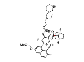 C#Cc1c(F)ccc2cc(OCOC)cc(-c3ncc4c(N5C[C@H]6CC[C@@H](C5)N6C(=O)OC(C)(C)C)nc(OCCN5CC[C@@]6(CCCNC6)C5)nc4c3F)c12